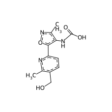 Cc1nc(-c2onc(C)c2NC(=O)O)ccc1CO